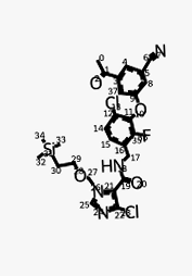 CC(=O)c1cc(C#N)cc(Oc2c(Cl)ccc(CNC(=O)c3c(Cl)ncn3COCC[Si](C)(C)C)c2F)c1